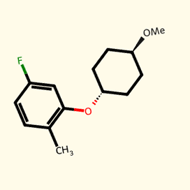 CO[C@H]1CC[C@H](Oc2cc(F)ccc2C)CC1